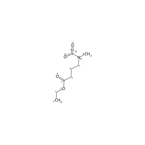 CCOC(=O)CCCN(C)[SH](=O)=O